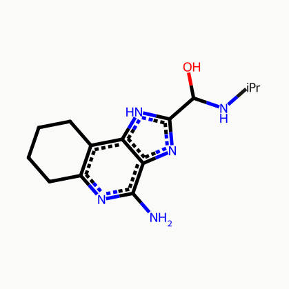 CC(C)NC(O)c1nc2c(N)nc3c(c2[nH]1)CCCC3